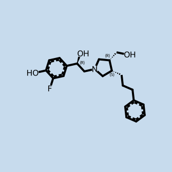 OC[C@H]1CN(C[C@H](O)c2ccc(O)c(F)c2)C[C@H]1CCCc1ccccc1